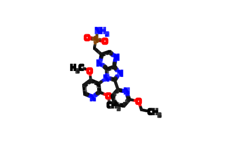 CCOc1cccc(-c2nc3ncc(CS(N)(=O)=O)nc3n2-c2c(OC)ccnc2OC)n1